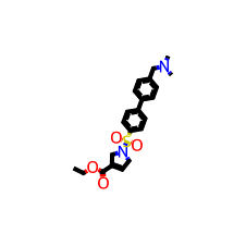 CCOC(=O)C1=CCN(S(=O)(=O)c2ccc(-c3ccc(CN(C)C)cc3)cc2)C1